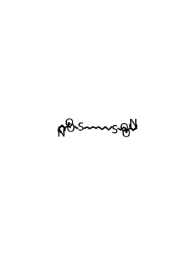 O=C(OCCSCCCCCCCCCCSCCOC(=O)c1cccnc1)c1cccnc1